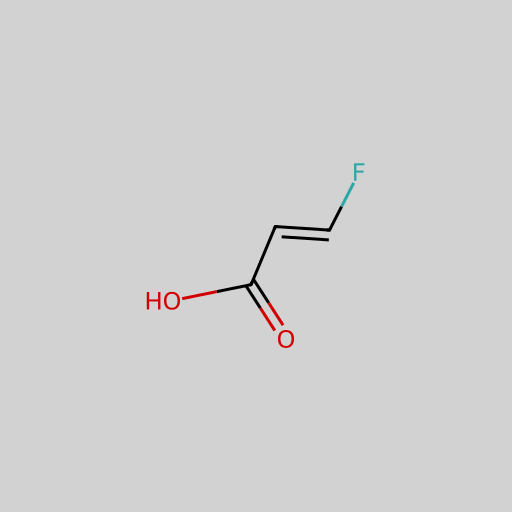 O=C(O)C=CF